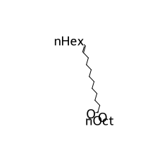 CCCCCCC=CCCCCCCCCCC(=O)OCCCCCCCC